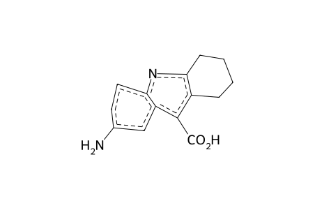 Nc1ccc2nc3c(c(C(=O)O)c2c1)CCCC3